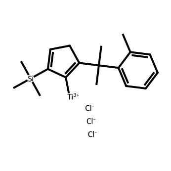 Cc1ccccc1C(C)(C)C1=[C]([Ti+3])C([Si](C)(C)C)=CC1.[Cl-].[Cl-].[Cl-]